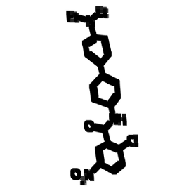 CCN(CC)c1ccc(-c2ccc(NC(=O)c3cc([N+](=O)[O-])ccc3Cl)cc2)cc1